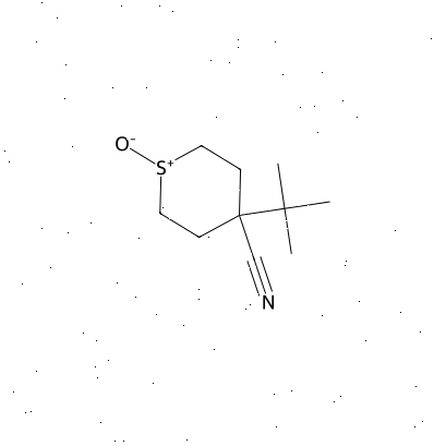 CC(C)(C)C1(C#N)CC[S+]([O-])CC1